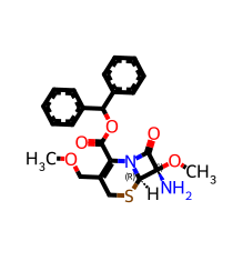 COCC1=C(C(=O)OC(c2ccccc2)c2ccccc2)N2C(=O)[C@](N)(OC)[C@H]2SC1